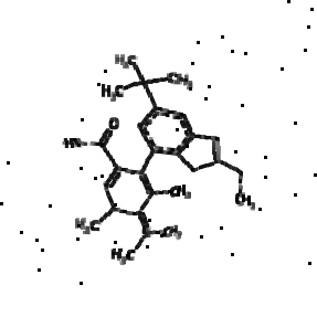 CCC1=Cc2cc(C(C)(C)C)cc(C3=C(C)C(=[Si](C)C)C(C)C=C3C([NH])=O)c2C1